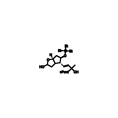 CCCCCC(C)(O)/C=C/[C@@H]1C2CC(O)O[C@H]2C[C@H]1O[Si](CC)(CC)CC